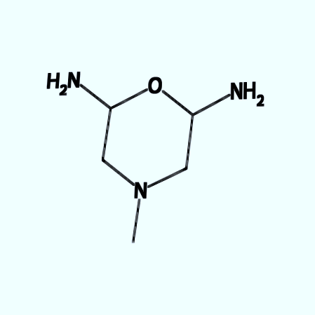 CN1CC(N)OC(N)C1